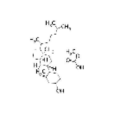 CC(C)CCC[C@@H](C)[C@H]1CC[C@H]2[C@@H]3CC=C4C[C@@H](O)CC[C@]4(C)[C@H]3CC[C@]12C.COC(=O)O